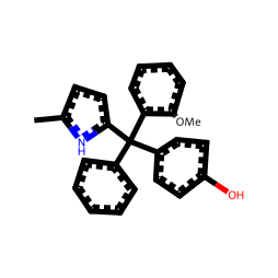 COc1ccccc1C(c1ccccc1)(c1ccc(O)cc1)c1ccc(C)[nH]1